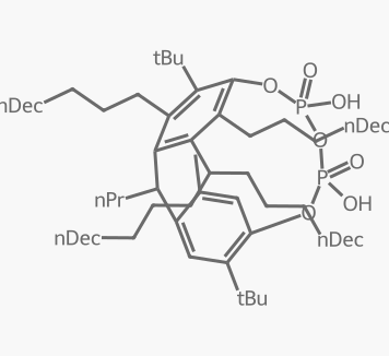 CCCCCCCCCCCCCc1c2c(C(C)(C)C)c(CCCCCCCCCCCCC)c(c1C(CCCCCCCCCCCCC)CCCCCCCCCCCCC)C(CCC)c1cc(C(C)(C)C)c(cc1C)OP(=O)(O)OP(=O)(O)O2